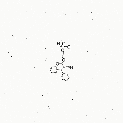 CC(=O)OCCOC(=O)C(C#N)=C(c1ccccc1)c1ccccc1